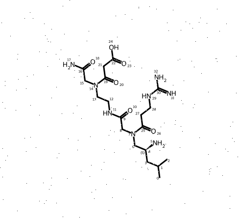 CC(C)C[C@H](N)CN(CC(=O)NCCN(CC(N)=O)C(=O)CC(=O)O)C(=O)CCNC(=N)N